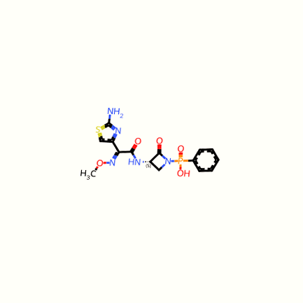 CON=C(C(=O)N[C@H]1CN(P(=O)(O)c2ccccc2)C1=O)c1csc(N)n1